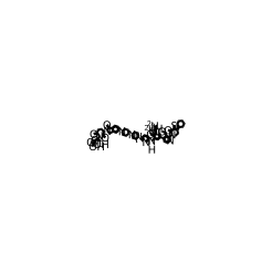 [2H]C([2H])([2H])n1cc(-c2ccnc(N3CCc4c(sc5c4CCCC5)C3=O)c2CO)cc(Nc2ccc(N3CCN(C4CCN(c5ccc6c(c5)CN([C@H]5CCC(=O)N(C(C)OP(=O)(O)O)C5=O)C6=O)CC4)C[C@@H]3C)cn2)c1=O